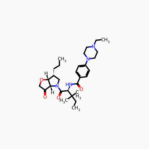 CCC[C@@H]1CN(C(=O)[C@@H](NC(=O)c2ccc(N3CCN(CC)CC3)cc2)C(C)(C)CC)[C@@H]2C(=O)CO[C@H]12